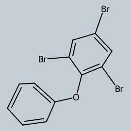 Brc1cc(Br)c(Oc2ccccc2)c(Br)c1